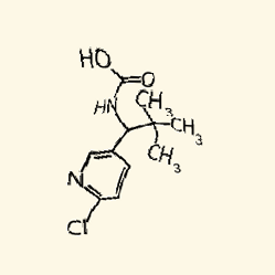 CC(C)(C)C(NC(=O)O)c1ccc(Cl)nc1